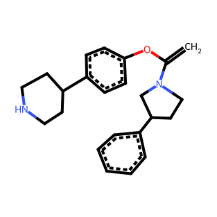 C=C(Oc1ccc(C2CCNCC2)cc1)N1CCC(c2ccccc2)C1